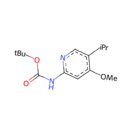 COc1cc(NC(=O)OC(C)(C)C)ncc1C(C)C